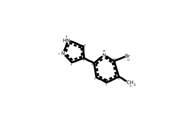 Cc1ccc(-c2cn[nH]c2)nc1Br